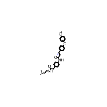 COc1ccc(Oc2ccc(/C=C/C(=O)Nc3ccc(CC(=O)NCCN(C)C)cc3)cc2)cc1